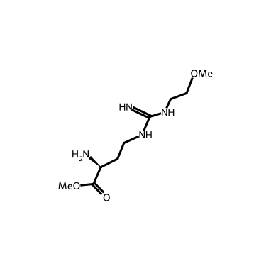 COCCNC(=N)NCC[C@H](N)C(=O)OC